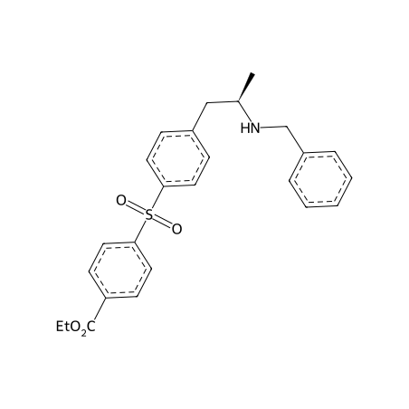 CCOC(=O)c1ccc(S(=O)(=O)c2ccc(C[C@@H](C)NCc3ccccc3)cc2)cc1